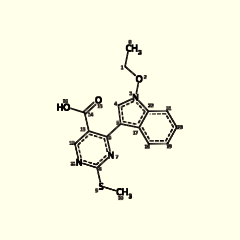 CCOn1cc(-c2nc(SC)ncc2C(=O)O)c2ccccc21